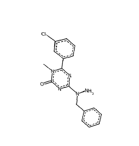 Cn1c(-c2cccc(Cl)c2)nc(N(N)Cc2ccccc2)nc1=O